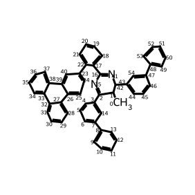 CC1C(c2cccc(-c3ccccc3)c2)=NC(c2ccccc2-c2ccc3c4ccccc4c4ccccc4c3c2)=NC1c1cccc(-c2ccccc2)c1